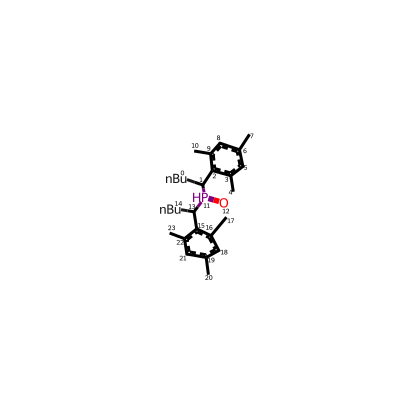 CCCCC(c1c(C)cc(C)cc1C)[PH](=O)C(CCCC)c1c(C)cc(C)cc1C